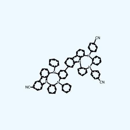 N#Cc1ccc(N2c3ccccc3N(c3ccc(C#N)cc3)c3cccc4c5ccc(-c6ccc7c(c6)N(c6ccccc6)c6cccc8c9cc(C#N)ccc9n(c68)-c6ccccc6N7c6ccccc6)cc5n(c34)-c3ccccc32)cc1